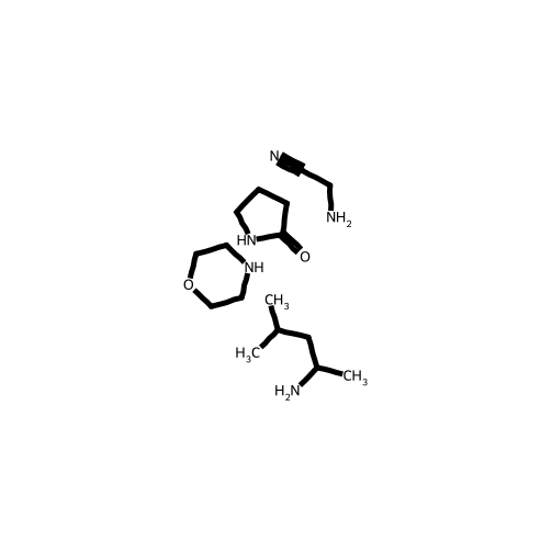 C1COCCN1.CC(C)CC(C)N.N#CCN.O=C1CCCN1